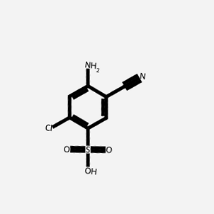 N#Cc1cc(S(=O)(=O)O)c(Cl)cc1N